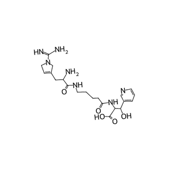 N=C(N)N1CC=C(CC(N)C(=O)NCCCCC(=O)NC(C(=O)O)C(O)c2cccnc2)C1